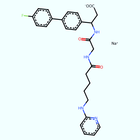 O=C([O-])CC(NC(=O)CNC(=O)CCCCNc1ccccn1)c1ccc(-c2ccc(F)cc2)cc1.[Na+]